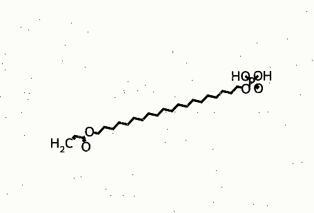 C=CC(=O)OCCCCCCCCCCCCCCCCCCCCOP(=O)(O)O